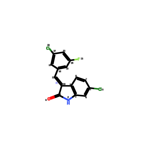 O=C1Nc2cc(Cl)ccc2/C1=C\c1cc(F)cc(Cl)c1